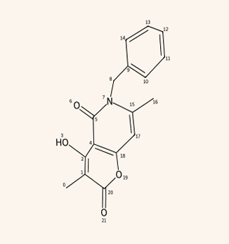 Cc1c(O)c2c(=O)n(Cc3ccccc3)c(C)cc2oc1=O